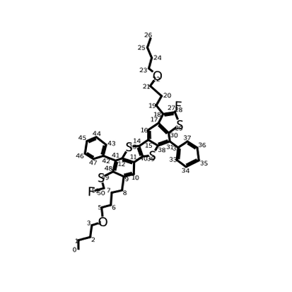 CCCCOCCCCc1cc2c(sc3c4cc5c(CCCOCCCC)c(F)sc5c(-c5ccccc5)c4sc23)c(-c2ccccc2)c1SCF